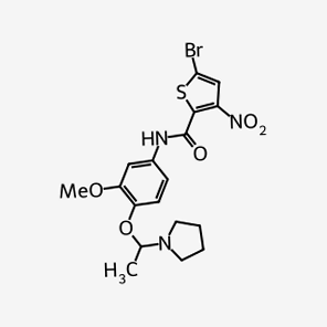 COc1cc(NC(=O)c2sc(Br)cc2[N+](=O)[O-])ccc1OC(C)N1CCCC1